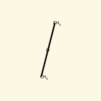 CCCCCCCCCCCCCCCCCCCCCCCCCCC[CH]OCCCCCCCCCCCCCCCCCCCCCCCCCCC